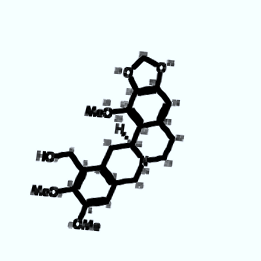 COc1cc2c(c(CO)c1OC)C[C@H]1c3c(cc4c(c3OC)OCO4)CCN1C2